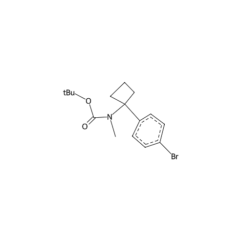 CN(C(=O)OC(C)(C)C)C1(c2ccc(Br)cc2)CCC1